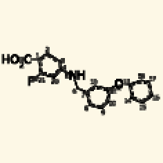 O=C(O)c1ccc(NCc2cccc(Oc3ccccc3)c2)cc1F